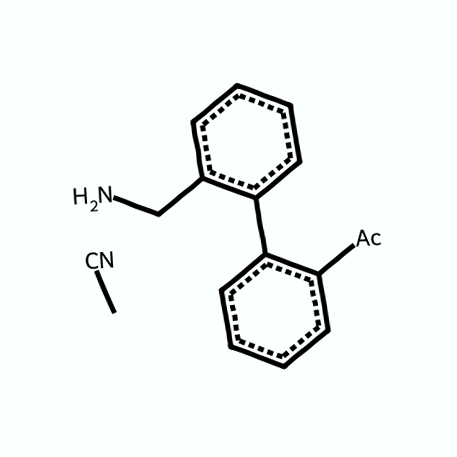 CC#N.CC(=O)c1ccccc1-c1ccccc1CN